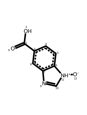 O=C(O)c1ccc2c(c1)N=C[NH+]2[O-]